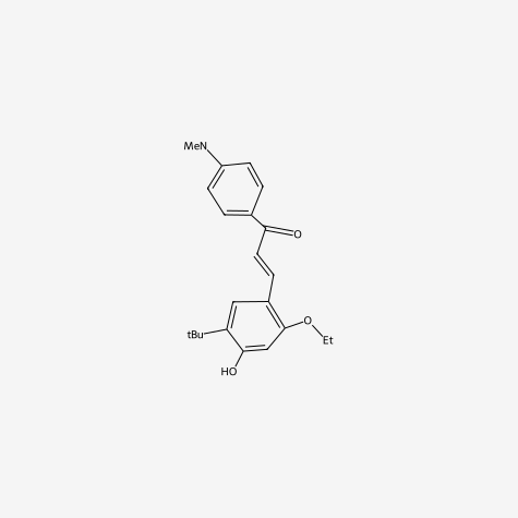 CCOc1cc(O)c(C(C)(C)C)cc1C=CC(=O)c1ccc(NC)cc1